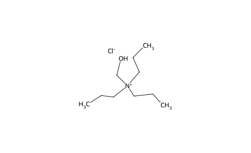 CCC[N+](CO)(CCC)CCC.[Cl-]